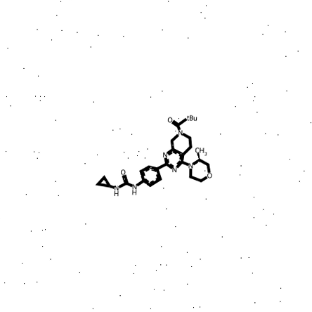 C[C@H]1COCCN1c1nc(-c2ccc(NC(=O)NC3CC3)cc2)nc2c1CCN(C(=O)C(C)(C)C)C2